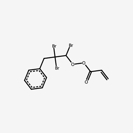 C=CC(=O)OOC(Br)C(Br)(Br)Cc1ccccc1